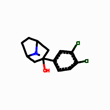 CN1C2CCC1CC(O)(c1ccc(Cl)c(Cl)c1)C2